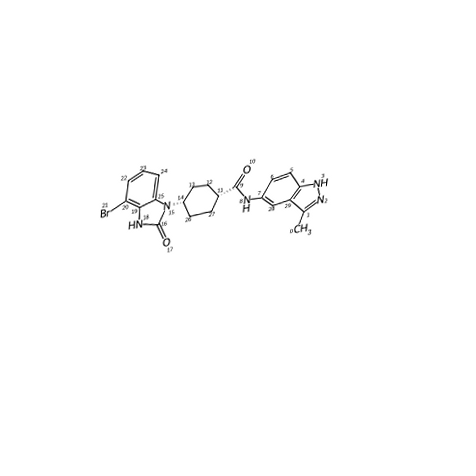 Cc1n[nH]c2ccc(NC(=O)[C@H]3CC[C@@H](n4c(=O)[nH]c5c(Br)cccc54)CC3)cc12